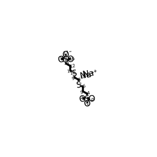 O=S(=O)([O-])CCCSCCSCCCS(=O)(=O)[O-].[Na+].[Na+]